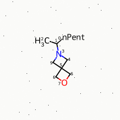 CCCCCC(C)N1CC2(COC2)C1